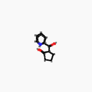 O=C1CCCC1C(=O)c1ccccn1